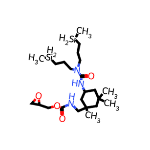 C[SiH2]CCCN(CCC[SiH2]C)C(=O)NC1CC(C)(C)CC(C)(CNC(=O)OCC2CO2)C1